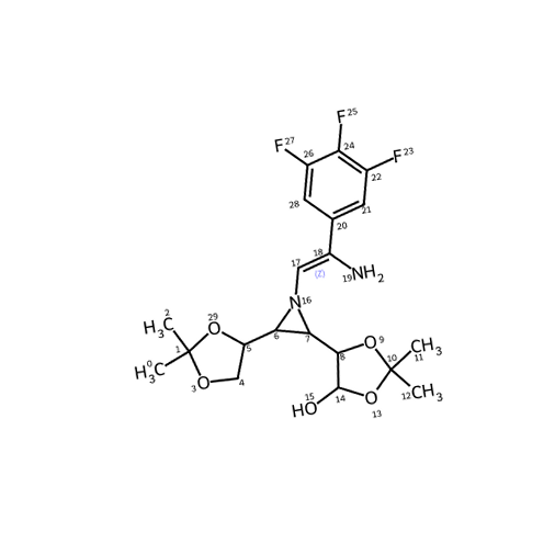 CC1(C)OCC(C2C(C3OC(C)(C)OC3O)N2/C=C(\N)c2cc(F)c(F)c(F)c2)O1